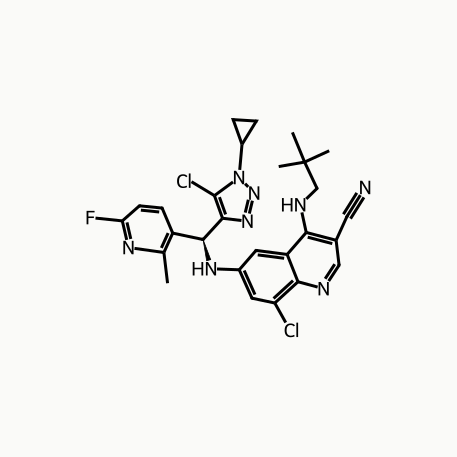 Cc1nc(F)ccc1[C@H](Nc1cc(Cl)c2ncc(C#N)c(NCC(C)(C)C)c2c1)c1nnn(C2CC2)c1Cl